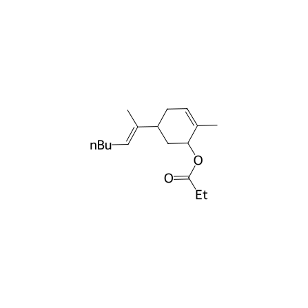 CCCCC=C(C)C1CC=C(C)C(OC(=O)CC)C1